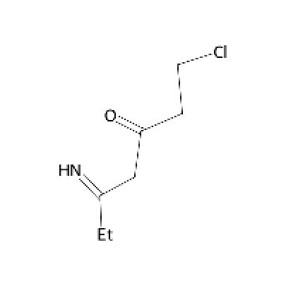 CCC(=N)CC(=O)CCCl